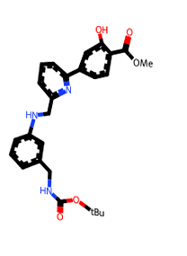 COC(=O)c1ccc(-c2cccc(CNc3cccc(CNC(=O)OC(C)(C)C)c3)n2)cc1O